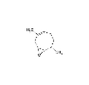 CC1=CCCC(C)C2OC2C1